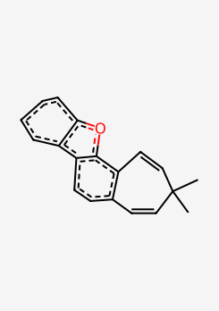 CC1(C)C=Cc2ccc3c(oc4ccccc43)c2C=C1